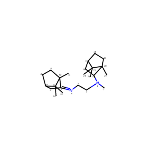 CN(CC/N=C1/CC2CCC1(C)C2(C)C)C1CC2CCC1(C)C2(C)C